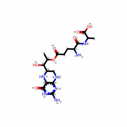 CC(NC(=O)C(N)CCC(=O)OC(C)C(O)C1CNc2nc(N)[nH]c(=O)c2N1)C(=O)O